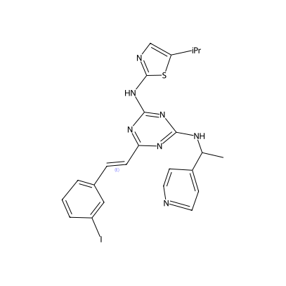 CC(C)c1cnc(Nc2nc(/C=C/c3cccc(I)c3)nc(NC(C)c3ccncc3)n2)s1